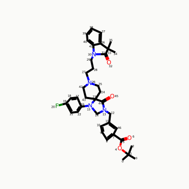 CC(C)(C)OC(=O)c1cccc(CN2CN(c3ccc(F)cc3)C3(CCN(CCCN4C(=O)C(C)(C)c5ccccc54)CC3)C2=O)c1